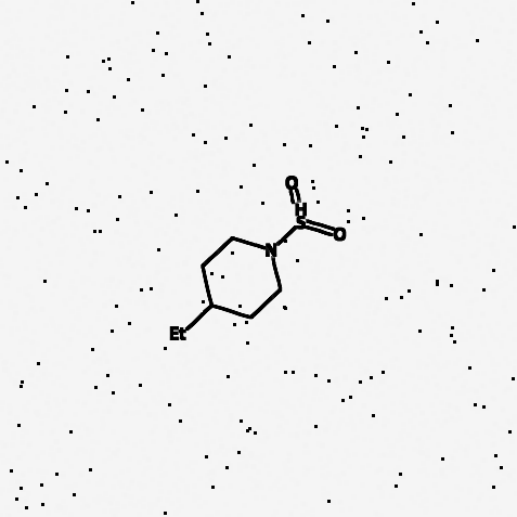 CCC1CCN([SH](=O)=O)CC1